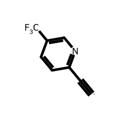 [C]#Cc1ccc(C(F)(F)F)cn1